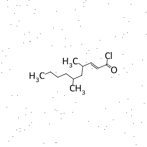 CCCCC(C)CC(C)/C=C/C(=O)Cl